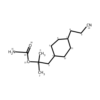 CC(C)(CC1CCC(CCC#N)CC1)OC(N)=O